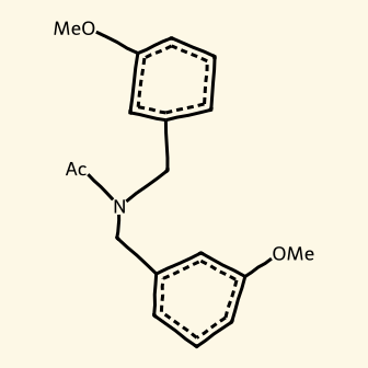 COc1cccc(CN(Cc2cccc(OC)c2)C(C)=O)c1